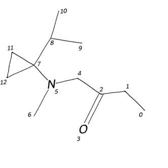 CCC(=O)CN(C)C1(C(C)C)CC1